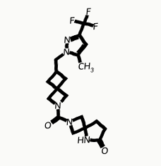 Cc1cc(C(F)(F)F)nn1CC1CC2(C1)CN(C(=O)N1CC3(CCC(=O)N3)C1)C2